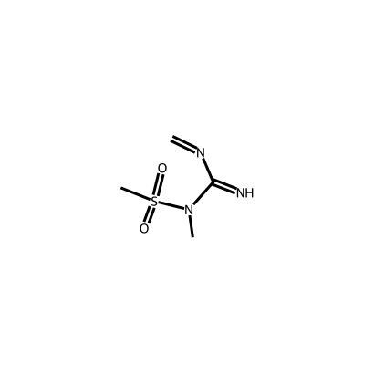 C=NC(=N)N(C)S(C)(=O)=O